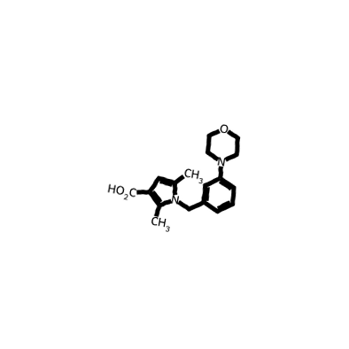 Cc1cc(C(=O)O)c(C)n1Cc1cccc(N2CCOCC2)c1